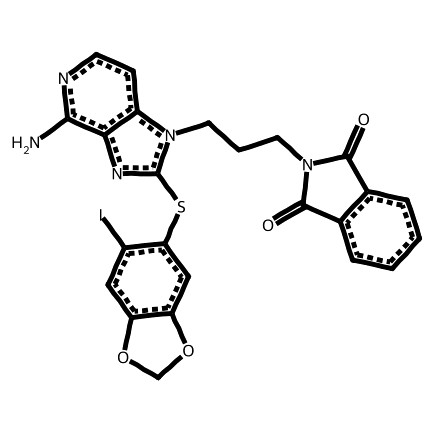 Nc1nccc2c1nc(Sc1cc3c(cc1I)OCO3)n2CCCN1C(=O)c2ccccc2C1=O